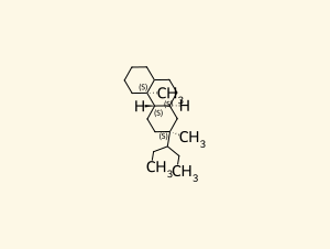 CCC(CC)[C@@]1(C)CC[C@H]2[C@@H](CCC3CCCC[C@@]32C)C1